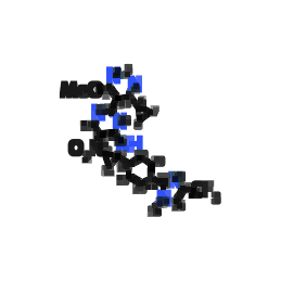 COc1ncnc(C2CC2)c1-c1ncc([N+](=O)[O-])c(NC2(c3ccc(-c4nc(C(F)(F)F)cn4C)cc3)CC2)n1